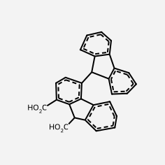 O=C(O)c1ccc(C2c3ccccc3-c3ccccc32)c2c1C(C(=O)O)c1ccccc1-2